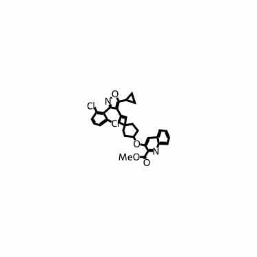 COC(=O)c1nc2ccccc2cc1OC1CCC2(C=C(c3c(-c4c(Cl)cccc4Cl)noc3C3CC3)C2)CC1